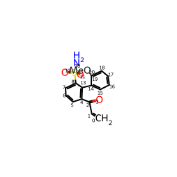 C=CC(=O)c1cccc(S(N)(=O)=O)c1-c1ccccc1OC